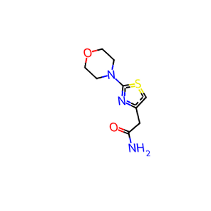 NC(=O)Cc1csc(N2CCOCC2)n1